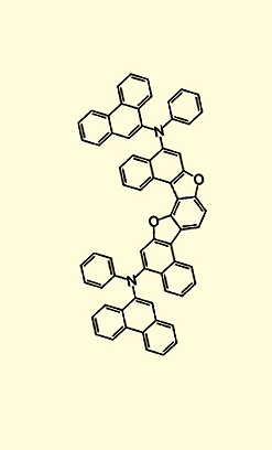 c1ccc(N(c2cc3ccccc3c3ccccc23)c2cc3oc4c(ccc5oc6cc(N(c7ccccc7)c7cc8ccccc8c8ccccc78)c7ccccc7c6c54)c3c3ccccc23)cc1